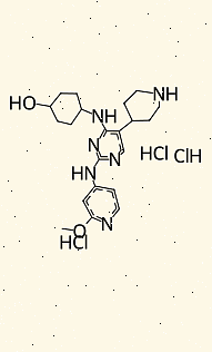 COc1cc(Nc2ncc(C3CCNCC3)c(NC3CCC(O)CC3)n2)ccn1.Cl.Cl.Cl